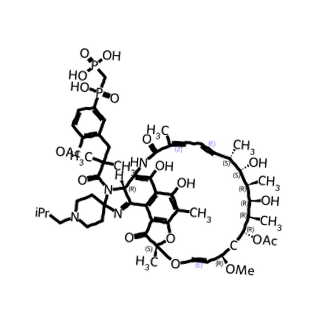 CO[C@H]1/C=C/O[C@@]2(C)Oc3c(C)c(O)c4c(c3C2=O)C2=NC3(CCN(CC(C)C)CC3)N(C(=O)C(C)(C)Cc3cc(P(=O)(O)CP(=O)(O)O)ccc3OC(C)=O)[C@@H]2C(=C4O)NC(=O)/C(C)=C\C=C\[C@H](C)[C@H](O)[C@@H](C)[C@@H](O)[C@@H](C)[C@H](OC(C)=O)C1